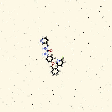 O=C(NCc1cccnc1)Nc1ccc(OCc2ccccc2-c2ccc(F)nc2)cc1